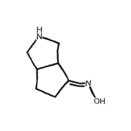 ON=C1CCC2CNCC12